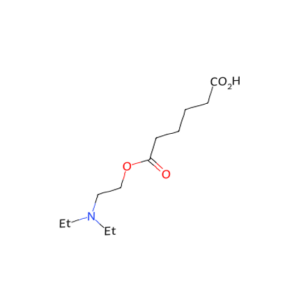 CCN(CC)CCOC(=O)CCCCC(=O)O